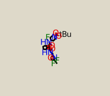 CC(C)(C)OC(=O)N1CC[C@H](NC(=O)C2C(C(=O)NCc3nc(C(C)(F)F)co3)C3CCC2C32CC2)[C@@H](F)C1